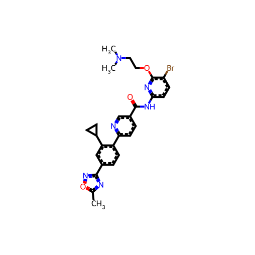 Cc1nc(-c2ccc(-c3ccc(C(=O)Nc4ccc(Br)c(OCCN(C)C)n4)cn3)c(C3CC3)c2)no1